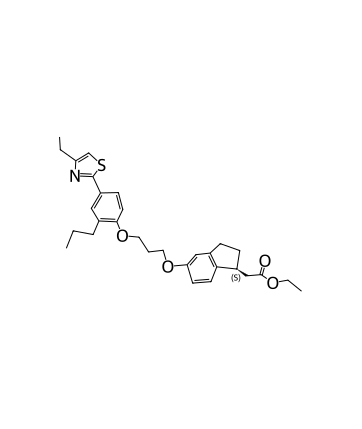 CCCc1cc(-c2nc(CC)cs2)ccc1OCCCOc1ccc2c(c1)CC[C@H]2CC(=O)OCC